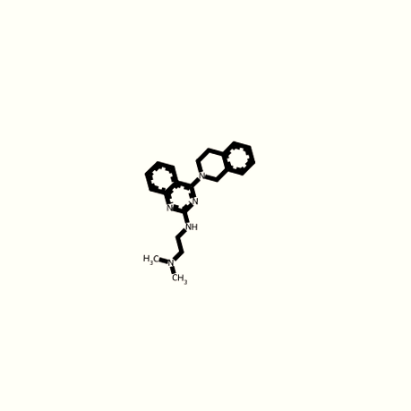 CN(C)CCNc1nc(N2CCc3ccccc3C2)c2ccccc2n1